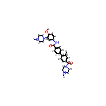 COc1ccc(NC(=O)c2ccc(-c3ccc(C(=O)N4CCN(C)CC4)cc3C)cc2)cc1N1CCN(C)CC1